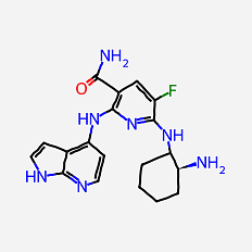 NC(=O)c1cc(F)c(NC2CCCC[C@@H]2N)nc1Nc1ccnc2[nH]ccc12